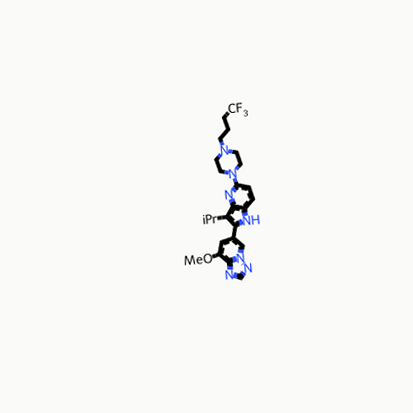 COc1cc(-c2[nH]c3ccc(N4CCN(CCCC(F)(F)F)CC4)nc3c2C(C)C)cn2ncnc12